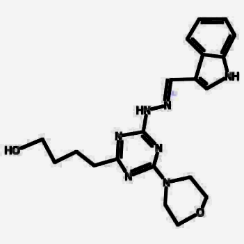 OCCCCc1nc(N/N=C/c2c[nH]c3ccccc23)nc(N2CCOCC2)n1